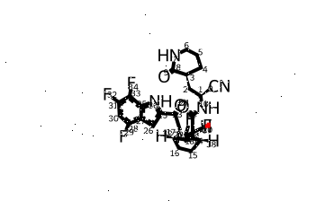 N#C[C@H](C[C@@H]1CCCNC1=O)NC(=O)[C@H]1[C@@H]2CC[C@@H](CC2(F)F)N1C(=O)c1cc2c(F)cc(F)c(F)c2[nH]1